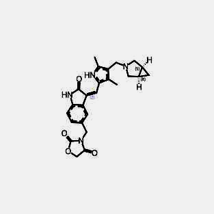 Cc1[nH]c(/C=C2\C(=O)Nc3ccc(CN4C(=O)COC4=O)cc32)c(C)c1CN1C[C@H]2C[C@H]2C1